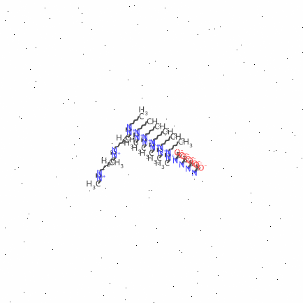 CCCCCCn1cc[n+](CC)c1.CCCCCCn1cc[n+](CC)c1.CCCCCCn1cc[n+](CC)c1.CCCCCCn1cc[n+](CC)c1.CCCCCCn1cc[n+](CC)c1.CCCCCCn1cc[n+](CC)c1.CCCCCCn1cc[n+](CC)c1.CCCCCCn1cc[n+](CC)c1.N#CB([O-])[O-].N#CB([O-])[O-].N#CB([O-])[O-].N#CB([O-])[O-]